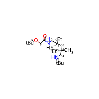 CCC(C)(CNC(=O)COC(C)(C)C)CC(C)(CC)CNC(C)(C)C